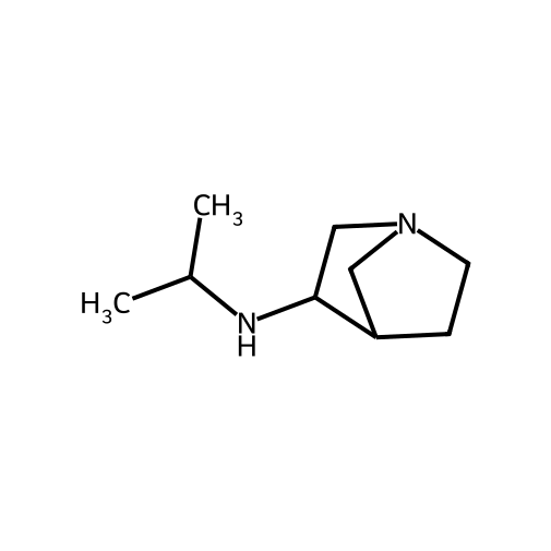 CC(C)NC1CN2CCC1C2